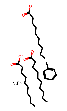 CCCCCCCCCC(=O)[O-].CCCCCCCCCC(=O)[O-].CCCCCCCCCC(=O)[O-].Cc1ccccc1.[Nd+3]